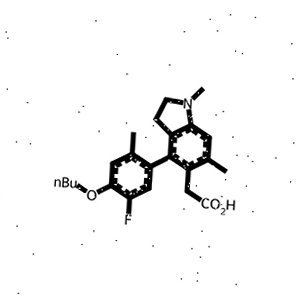 CCCCOc1cc(C)c(-c2c(CC(=O)O)c(C)cc3c2CCN3C)cc1F